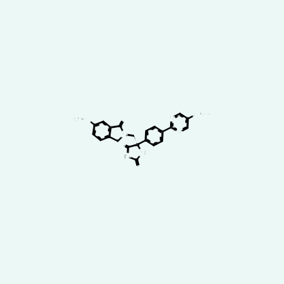 COc1cnc(-c2ccc([C@]3(CN4Cc5ccc(OC)cc5C4=O)NC(=O)NC3=O)cc2)nc1